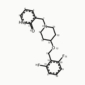 O=c1[nH]cccc1CN1CCC(OCc2c(F)cccc2F)CC1